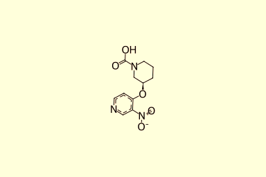 O=C(O)N1CCC[C@@H](Oc2ccncc2[N+](=O)[O-])C1